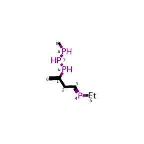 C=C(C/C=P/CC)PPPC